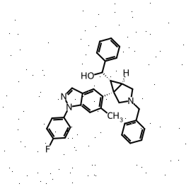 Cc1cc2c(cnn2-c2ccc(F)cc2)cc1[C@@]12CN(Cc3ccccc3)C[C@@H]1[C@H]2C(O)c1ccccc1